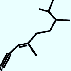 C/C(=C\C#N)CCC(C)C(C)C